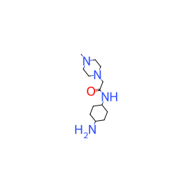 CN1CCN(CC(=O)NC2CCC(N)CC2)CC1